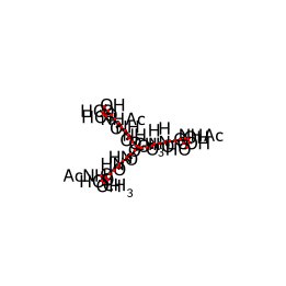 CC(=O)NC1C(OCCCCC(=O)NCCCNC(=O)CCOCC(C)(COCCC(=O)NCCCNC(=O)CCCCOC2OC(CO)C(O)C(O)C2NC(C)=O)COCCC(=O)NCCCNC(=O)CCCCOC2OC(CO)C(O)C(O)C2NC(C)=O)OC(C)C(O)C1O